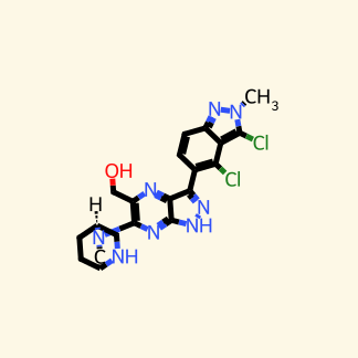 Cn1nc2ccc(-c3n[nH]c4nc(N5CC6CC[C@H]5CN6)c(CO)nc34)c(Cl)c2c1Cl